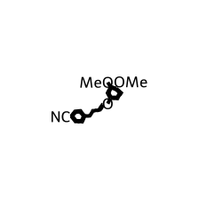 COc1ccc(OC=CCCc2ccc(C#N)cc2)cc1OC